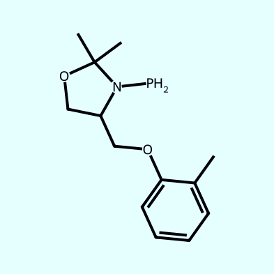 Cc1ccccc1OCC1COC(C)(C)N1P